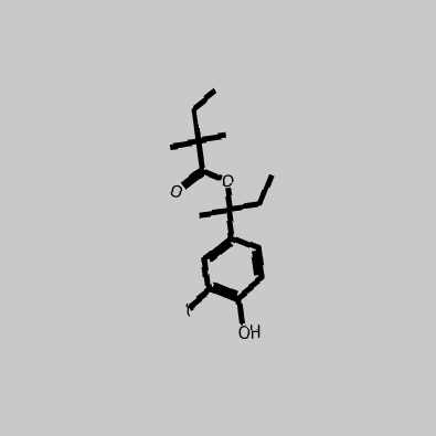 CCC(C)(C)C(=O)OC(C)(CC)c1ccc(O)c(I)c1